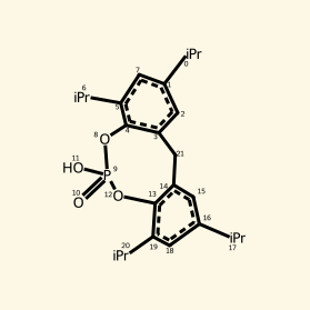 CC(C)c1cc2c(c(C(C)C)c1)OP(=O)(O)Oc1c(cc(C(C)C)cc1C(C)C)C2